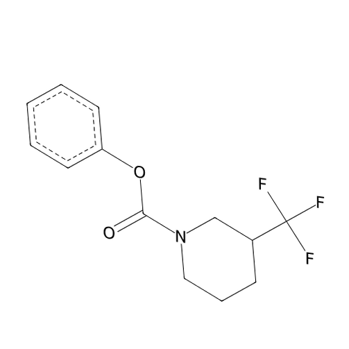 O=C(Oc1ccccc1)N1CCCC(C(F)(F)F)C1